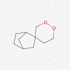 C1CC2(COO1)CC1CCC2C1